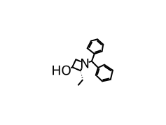 CC[C@@H]1[C@@H](O)CN1C(c1ccccc1)c1ccccc1